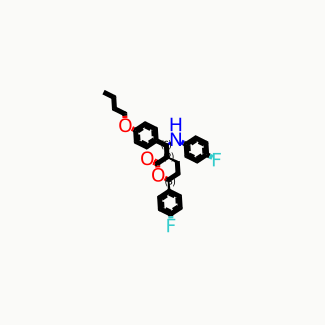 CCCCOc1ccc([C@@H](Nc2ccc(F)cc2)[C@H]2CC[C@@H](c3ccc(F)cc3)OC2=O)cc1